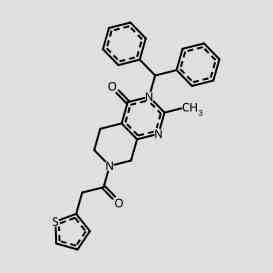 Cc1nc2c(c(=O)n1C(c1ccccc1)c1ccccc1)CCN(C(=O)Cc1cccs1)C2